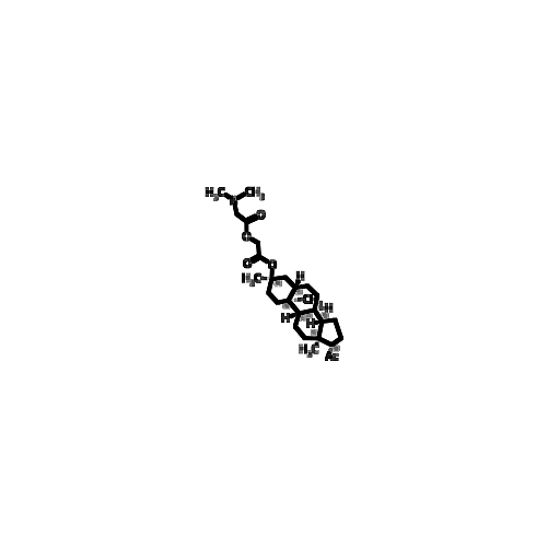 CC(=O)[C@H]1CC[C@H]2[C@@H]3CC[C@H]4C[C@](C)(OC(=O)COC(=O)CN(C)C)CC[C@]4(C)[C@H]3CC[C@]12C